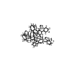 Cc1ccccc1-c1ccc2c(c1)c1ccccc1n2-c1cc(-c2c(C#N)cccc2C(F)(F)F)cc(-n2c3ccccc3c3cc(-c4ccccc4C)ccc32)c1C#N